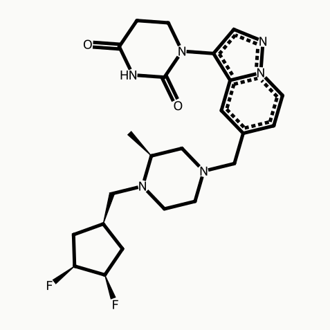 C[C@H]1CN(Cc2ccn3ncc(N4CCC(=O)NC4=O)c3c2)CCN1C[C@H]1C[C@@H](F)[C@@H](F)C1